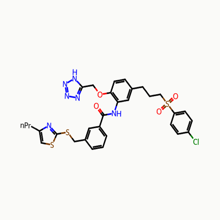 CCCc1csc(SCc2cccc(C(=O)Nc3cc(CCCS(=O)(=O)c4ccc(Cl)cc4)ccc3OCc3nnn[nH]3)c2)n1